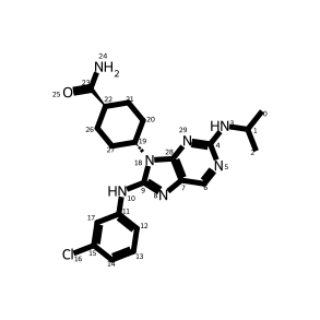 CC(C)Nc1ncc2nc(Nc3cccc(Cl)c3)n([C@H]3CC[C@H](C(N)=O)CC3)c2n1